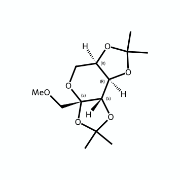 COC[C@@]12OC[C@H]3OC(C)(C)O[C@H]3[C@@H]1OC(C)(C)O2